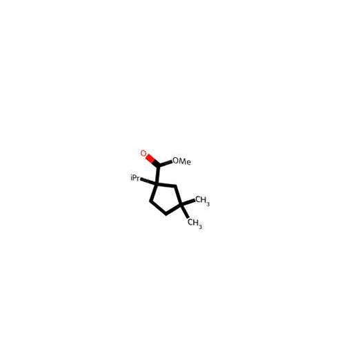 COC(=O)C1(C(C)C)CCC(C)(C)C1